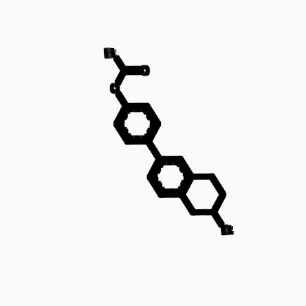 CCC(=O)Oc1ccc(-c2ccc3c(c2)CCC(CC)C3)cc1